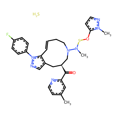 Cc1ccnc(C(=O)[C@H]2Cc3cnn(-c4ccc(F)cc4)c3/C=C/CCN(N(C)SOc3ccnn3C)C2)c1.S